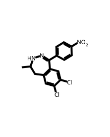 CC1Cc2cc(Cl)c(Cl)cc2C(c2ccc([N+](=O)[O-])cc2)=NN1